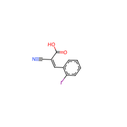 N#CC(=Cc1ccccc1I)C(=O)O